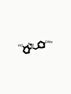 COc1ccc(Cn2nnc3c(O)cccc32)cc1